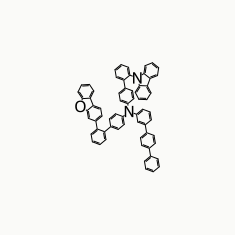 c1ccc(-c2ccc(-c3cccc(N(c4ccc(-c5ccccc5-c5ccc6c(c5)oc5ccccc56)cc4)c4ccc(-c5ccccc5-n5c6ccccc6c6ccccc65)cc4)c3)cc2)cc1